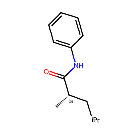 CC(C)C[C@H](C)C(=O)Nc1ccccc1